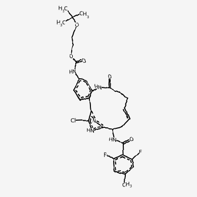 Cc1cc(F)c(C(=O)NC2C/C=C/CCC(=O)Nc3cc(NC(=O)OCCOC(C)(C)C)ccc3-c3nc2[nH]c3Cl)c(F)c1